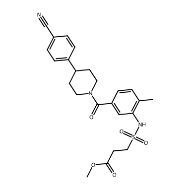 COC(=O)CCS(=O)(=O)Nc1cc(C(=O)N2CCC(c3ccc(C#N)cc3)CC2)ccc1C